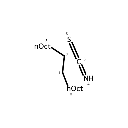 CCCCCCCCCCCCCCCCCC.N=C=S